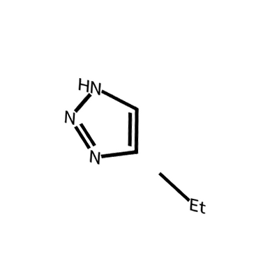 CCC.c1c[nH]nn1